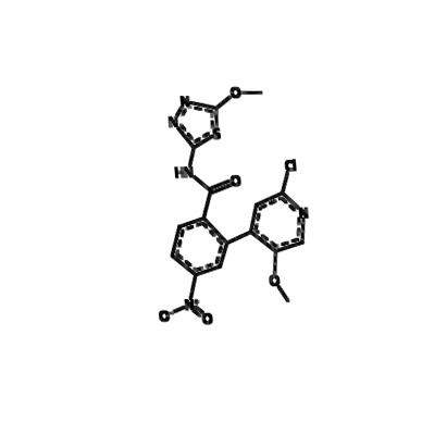 COc1nnc(NC(=O)c2ccc([N+](=O)[O-])cc2-c2cc(Cl)ncc2OC)s1